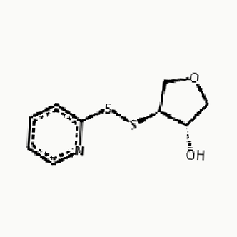 O[C@H]1COC[C@@H]1SSc1ccccn1